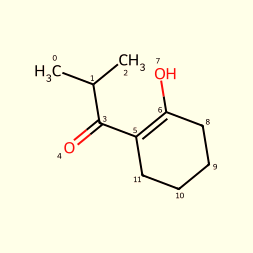 CC(C)C(=O)C1=C(O)CCCC1